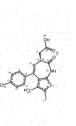 Cc1c(I)sc2c1C(c1ccc(Cl)cc1)=N[C@@H](CC(=O)O)C(=O)N2